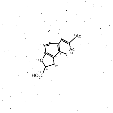 CC(=O)C(=Cc1ccc2c(c1C)CC(C(=O)O)O2)C(C)=O